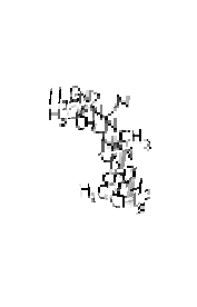 C[C@H](Oc1cc(N2CCN(C(=O)OC(C)(C)C)C3(CC3)[C@H]2C)nc(C#N)n1)[C@@H]1CCCN1C